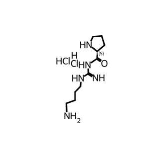 Cl.Cl.N=C(NCCCCN)NC(=O)[C@@H]1CCCN1